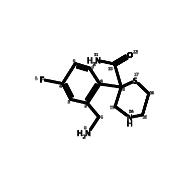 NCc1cc(F)ccc1C1(C(N)=O)CNCCS1